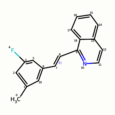 Cc1cc(F)cc(/C=C/c2nccc3ccccc23)c1